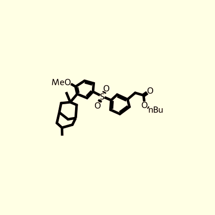 CCCCOC(=O)Cc1cccc(S(=O)(=O)c2ccc(OC)c(C3(C)CC4CC(C)CC(C4)C3)c2)c1